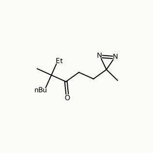 CCCCC(C)(CC)C(=O)CCC1(C)N=N1